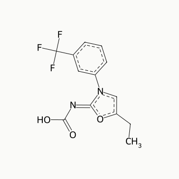 CCc1cn(-c2cccc(C(F)(F)F)c2)c(=NC(=O)O)o1